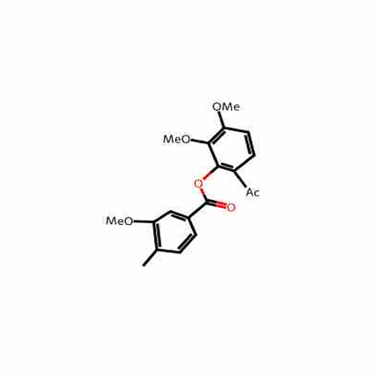 COc1cc(C(=O)Oc2c(C(C)=O)ccc(OC)c2OC)ccc1C